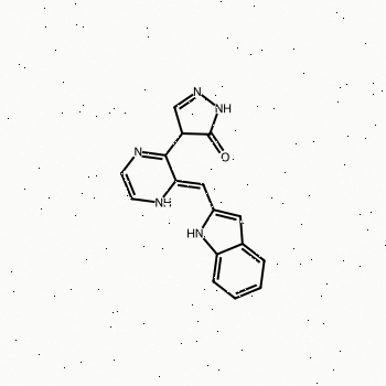 O=C1NN=CC1C1=NC=CNC1=Cc1cc2ccccc2[nH]1